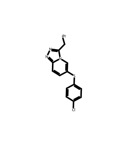 CC(C)Cc1nnc2ccc(Sc3ccc(Cl)cc3)cn12